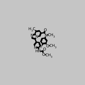 COC(=O)Nc1ccc(-c2cnc3c(C)cc(C(=O)N(C)c4ccc(F)c(OC)c4)cn23)cn1